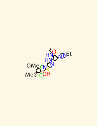 C=CC(=O)Nc1cc(N2CCN(CC)CC2)ccc1Nc1cc2nc(C(O)c3c(Cl)c(OC)cc(OC)c3Cl)sc2cn1